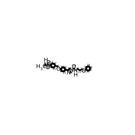 CNS(=O)(=O)c1ccc(COc2ccc(-c3cn(C(=O)NCCCOc4ccccc4)cn3)cc2)cc1